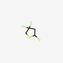 FC1CC(F)(F)CS1